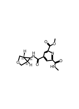 CNC(=O)c1cc(C(=O)N[C@H]2[C@@H]3COC[C@@H]32)cc(C(=O)OC)n1